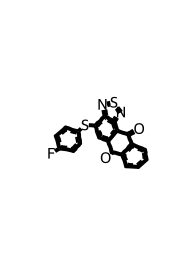 O=C1c2ccccc2C(=O)c2c1cc(Sc1ccc(F)cc1)c1nsnc21